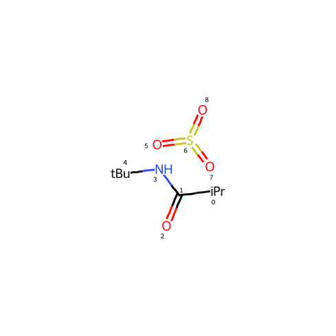 CC(C)C(=O)NC(C)(C)C.O=S(=O)=O